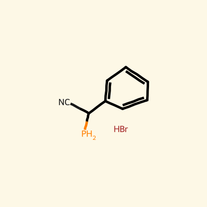 Br.N#CC(P)c1ccccc1